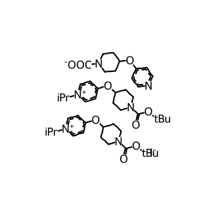 CC(C)[n+]1ccc(OC2CCN(C(=O)OC(C)(C)C)CC2)cc1.CC(C)[n+]1ccc(OC2CCN(C(=O)OC(C)(C)C)CC2)cc1.O=C([O-])N1CCC(Oc2ccncc2)CC1.[I-]